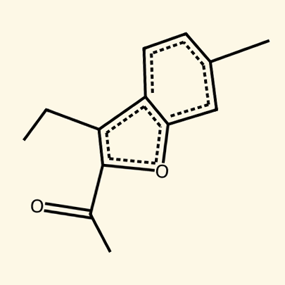 CCc1c(C(C)=O)oc2cc(C)ccc12